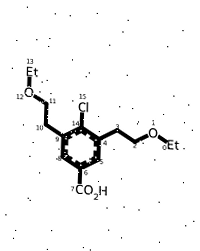 CCOCCc1cc(C(=O)O)cc(CCOCC)c1Cl